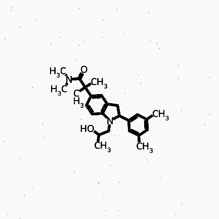 Cc1cc(C)cc(C2Cc3cc(C(C)(C)C(=O)N(C)C)ccc3N2CC(C)O)c1